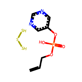 C=CCOP(=O)(O)Oc1cncnc1.SSS